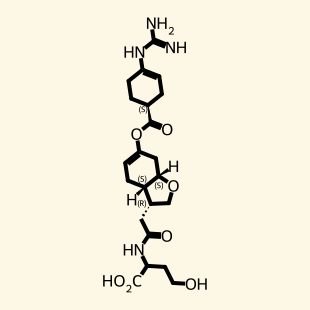 N=C(N)NC1=CC[C@@H](C(=O)OC2=CC[C@H]3[C@@H](CC(=O)NC(CCO)C(=O)O)CO[C@H]3C2)CC1